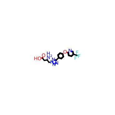 NC(CC(=O)O)Cn1nnc(-c2ccc(Oc3ccc(C(F)(F)F)cn3)cc2)n1